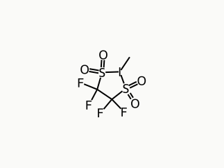 CI1S(=O)(=O)C(F)(F)C(F)(F)S1(=O)=O